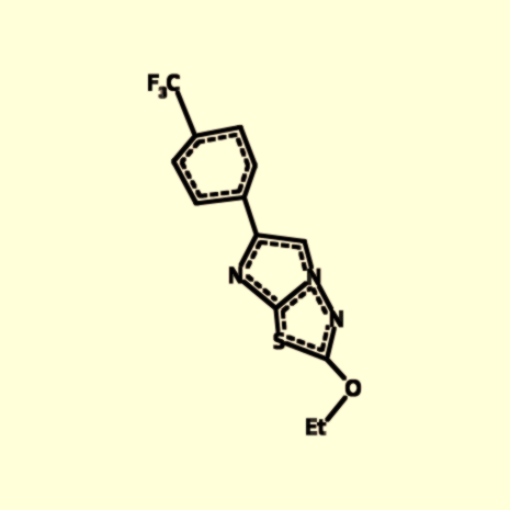 CCOc1nn2cc(-c3ccc(C(F)(F)F)cc3)nc2s1